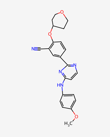 COc1ccc(Nc2ccnc(-c3ccc(OC4CCOCC4)c(C#N)c3)n2)cc1